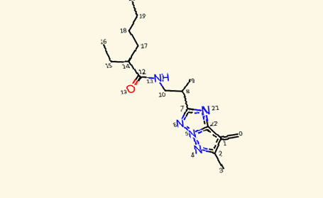 C=c1c(C)nn2nc(C(C)CNC(=O)C(CC)CCCC)nc12